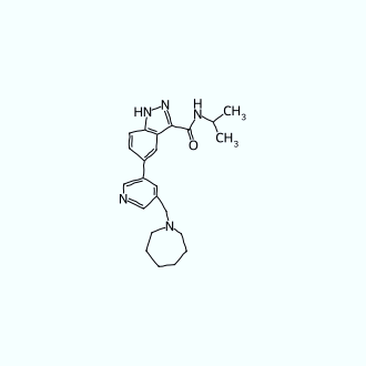 CC(C)NC(=O)c1n[nH]c2ccc(-c3cncc(CN4CCCCCC4)c3)cc12